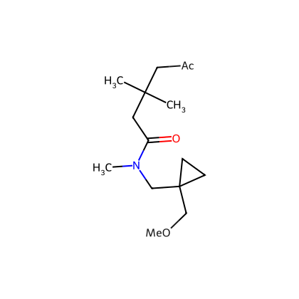 COCC1(CN(C)C(=O)CC(C)(C)CC(C)=O)CC1